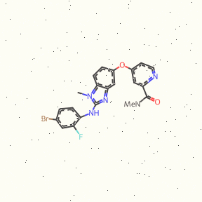 CNC(=O)c1cc(Oc2ccc3c(c2)nc(Nc2ccc(Br)cc2F)n3C)ccn1